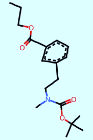 CCCOC(=O)c1cccc(CCN(C)C(=O)OC(C)(C)C)c1